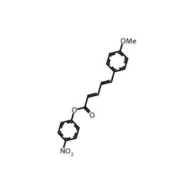 COc1ccc(/C=C/C=C/C(=O)Oc2ccc([N+](=O)[O-])cc2)cc1